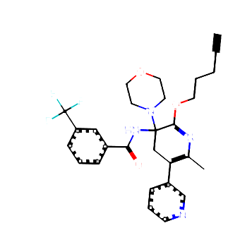 C#CCCCOC1=NC(C)=C(c2cccnc2)CC1(NC(=O)c1cccc(C(F)(F)F)c1)N1CCOCC1